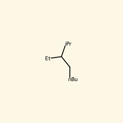 [CH2]C(C)C(CC)CCCCC